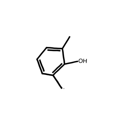 [CH2]c1cccc(C)c1O